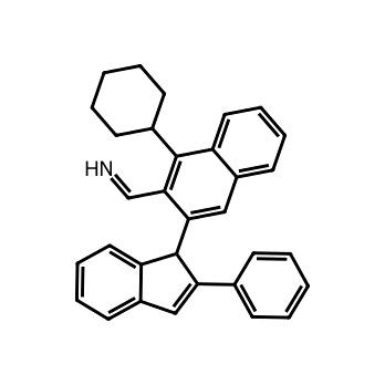 N=Cc1c(C2C(c3ccccc3)=Cc3ccccc32)cc2ccccc2c1C1CCCCC1